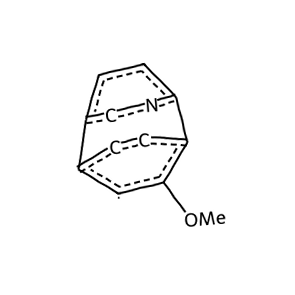 COc1[c]c2ccc1-c1ccc-2cn1